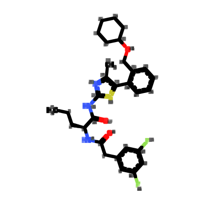 CCC[C@H](NC(=O)Cc1cc(F)cc(F)c1)C(=O)Nc1nc(C)c(-c2ccccc2COC2CCCCC2)s1